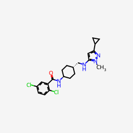 Cn1nc(C2CC2)cc1NC[C@H]1CC[C@H](NC(=O)c2cc(Cl)ccc2Cl)CC1